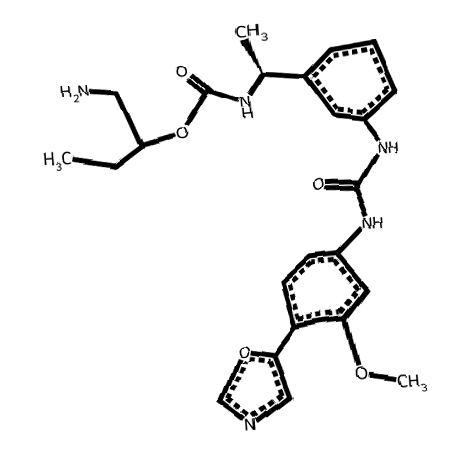 CCC(CN)OC(=O)N[C@@H](C)c1cccc(NC(=O)Nc2ccc(-c3cnco3)c(OC)c2)c1